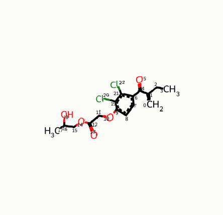 C=C(CC)C(=O)c1ccc(OCC(=O)OCC(C)O)c(Cl)c1Cl